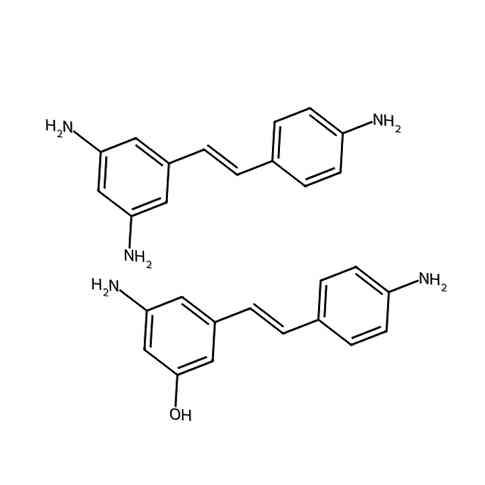 Nc1ccc(C=Cc2cc(N)cc(N)c2)cc1.Nc1ccc(C=Cc2cc(N)cc(O)c2)cc1